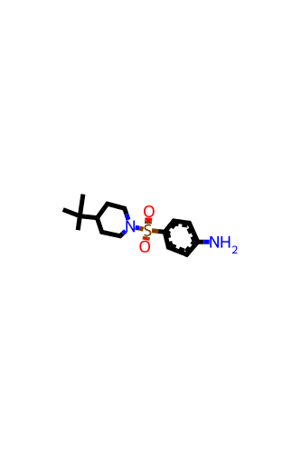 CC(C)(C)C1CCN(S(=O)(=O)c2ccc(N)cc2)CC1